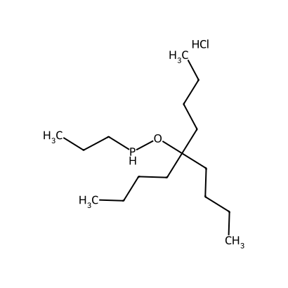 CCCCC(CCCC)(CCCC)OPCCC.Cl